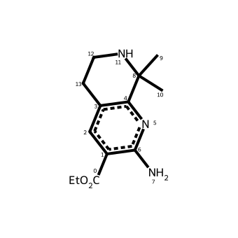 CCOC(=O)c1cc2c(nc1N)C(C)(C)NCC2